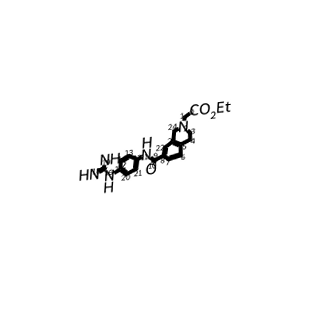 CCOC(=O)CN1CCc2ccc(C(=O)Nc3ccc(NC(=N)N)cc3)cc2C1